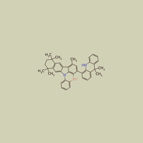 Cc1cc(-c2cccc3c2Nc2ccccc2C3(C)C)c2c3c1c1cc4c(cc1n3-c1ccccc1B2)C(C)(C)CCC4(C)C